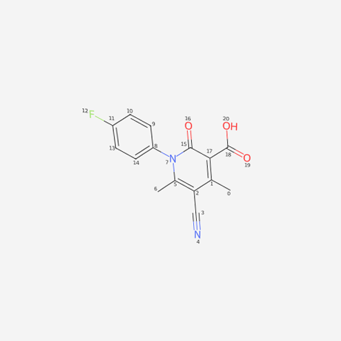 Cc1c(C#N)c(C)n(-c2ccc(F)cc2)c(=O)c1C(=O)O